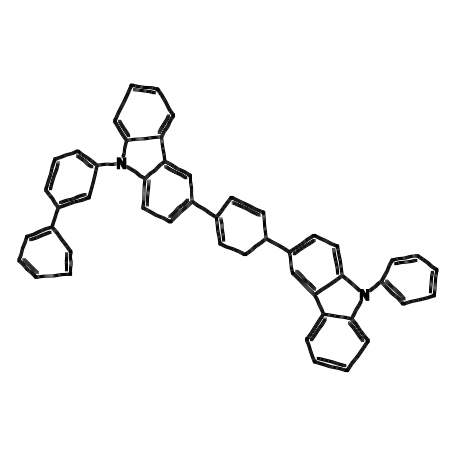 C1=CC(c2ccc3c(c2)c2ccccc2n3-c2ccccc2)CC=C1c1ccc2c(c1)c1ccccc1n2-c1cccc(-c2ccccc2)c1